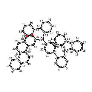 c1c(-c2ccccc2-n2c3ccccc3c3ccccc32)ccc(N(c2ccc3ccc4c5ccccc5ccc4c3c2)c2ccccc2-c2ccccc2)c#1